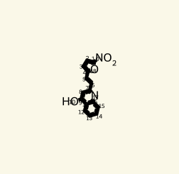 O=[N+]([O-])c1ccc(/C=C/c2cc(O)c3ccccc3n2)o1